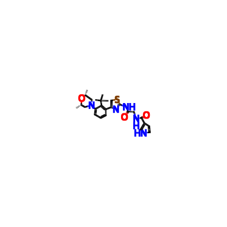 C[C@@H]1CN(c2cccc(-c3csc(NC(=O)CNC(=O)c4cc[nH]c4)n3)c2C(C)(C)C)C[C@H](C)O1